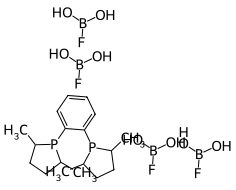 CC1CCC(C)P1c1ccccc1P1C(C)CCC1C.OB(O)F.OB(O)F.OB(O)F.OB(O)F